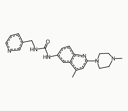 Cc1cc(N2CCN(C)CC2)nc2ccc(NC(=O)NCc3cccnc3)cc12